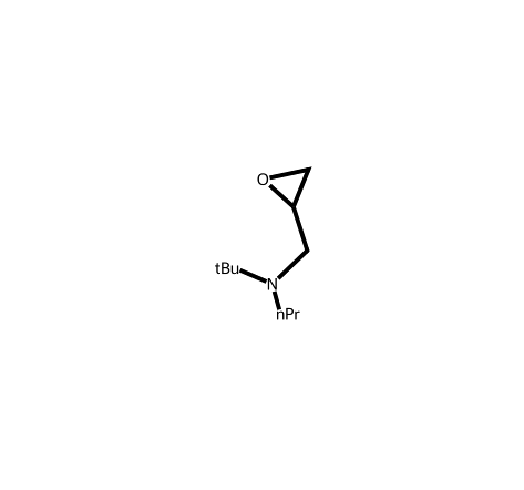 CCCN(CC1CO1)C(C)(C)C